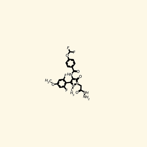 COc1cc(F)c(-c2c(NC(=O)c3ccc(OC(F)F)cc3)c(=O)n(CC(=O)NN)n2C)c(F)c1